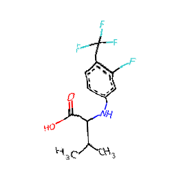 CC(C)C(Nc1ccc(C(F)(F)F)c(F)c1)C(=O)O